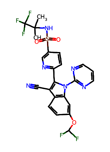 CC(C)(NS(=O)(=O)c1ccc(-c2c(C#N)c3ccc(OC(F)F)cc3n2-c2ncccn2)nc1)C(F)(F)F